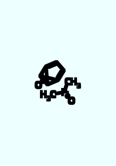 C[P](C)=O.O=C1C2=CC=C1C=C2